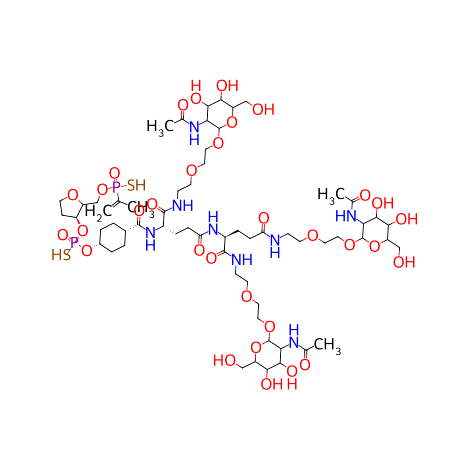 C=C(C)P(=O)(S)OCC1OCC[C@@H]1OP(=O)(S)O[C@H]1CC[C@@H](C(=O)N[C@@H](CCC(=O)N[C@@H](CCC(=O)NCCOCCOC2OC(CO)C(O)C(O)C2NC(C)=O)C(=O)NCCOCCOC2OC(CO)C(O)C(O)C2NC(C)=O)C(=O)NCCOCCOC2OC(CO)C(O)C(O)C2NC(C)=O)CC1